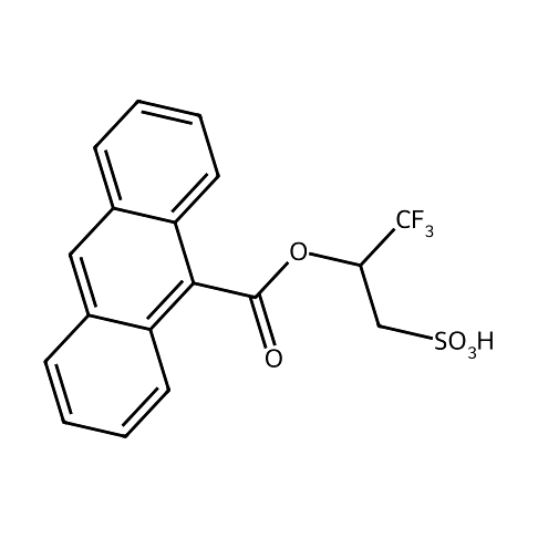 O=C(OC(CS(=O)(=O)O)C(F)(F)F)c1c2ccccc2cc2ccccc12